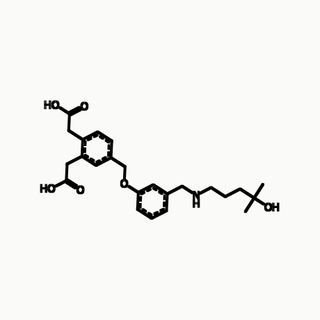 CC(C)(O)CCCNCc1cccc(OCc2ccc(CC(=O)O)c(CC(=O)O)c2)c1